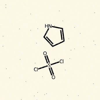 O=S(=O)(Cl)Cl.c1cc[nH]c1